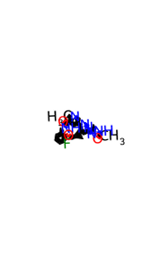 CC(=O)Nc1cn2nc(-c3cnc(C)c(C(=O)NCc4cccc(F)c4OCC4CC4)c3)ccc2n1